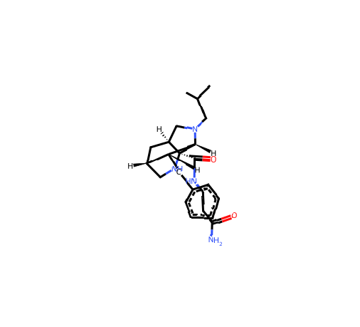 CC(C)CN1C[C@@H]2C[C@H]3CN[C@]2(C(=O)NCCC(N)=O)[C@@H]1[C@@H]3Cc1ccccc1